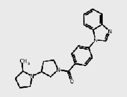 C[C@@H]1CCCN1C1CCN(C(=O)c2ccc(-n3cnc4ccccc43)cc2)C1